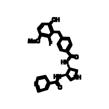 COc1ccc(O)c(Cc2ccc(C(=O)N[C@@H]3CNC[C@H]3NC(=O)c3ccncc3)cc2)c1F